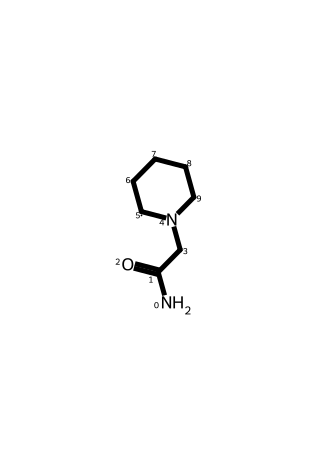 NC(=O)CN1[CH]CCCC1